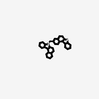 c1ccc2c(c1)ccc1c2c2ccccc2n1Cc1ccc2c(ccc3sc4ccccc4c32)c1